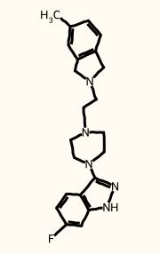 Cc1ccc2c(c1)CN(CCN1CCN(c3n[nH]c4cc(F)ccc34)CC1)C2